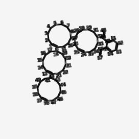 C1=CCCCCCCCCCC1.C1=CCCCCCCCCCC1.C1=CCCCCCCCCCC1.C1=CCCCCCCCCCC1.C=Cc1ccccc1C=C